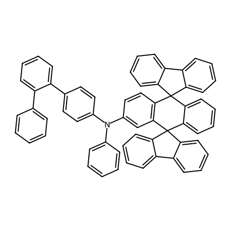 c1ccc(-c2ccccc2-c2ccc(N(c3ccccc3)c3ccc4c(c3)C3(c5ccccc5-c5ccccc53)c3ccccc3C43c4ccccc4-c4ccccc43)cc2)cc1